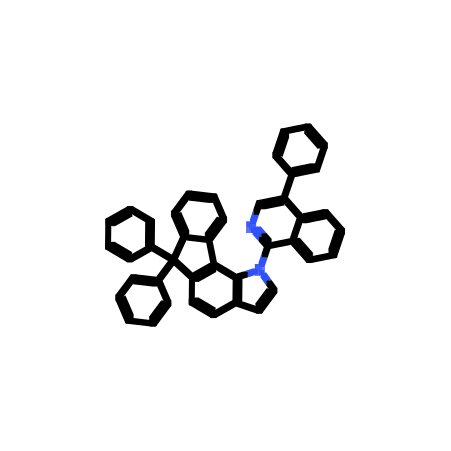 c1ccc(-c2cnc(-n3ccc4ccc5c(c43)-c3ccccc3C5(c3ccccc3)c3ccccc3)c3ccccc23)cc1